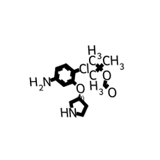 CC(C)(C)OC=O.Nc1ccc(Cl)c(O[C@@H]2CCNC2)c1